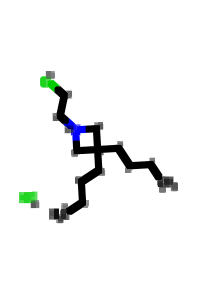 CCCCC1(CCCC)CN(CCCl)C1.Cl